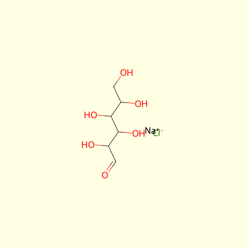 O=CC(O)C(O)C(O)C(O)CO.[Cl-].[Na+]